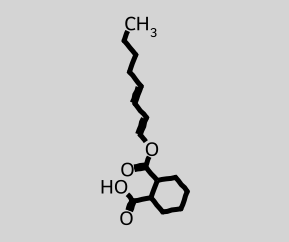 CCCCC=CC=COC(=O)C1CCCCC1C(=O)O